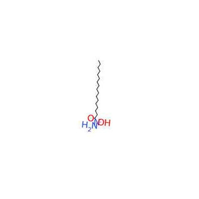 CCCCCCCCCCCCCCCCC(=O)N(N)O